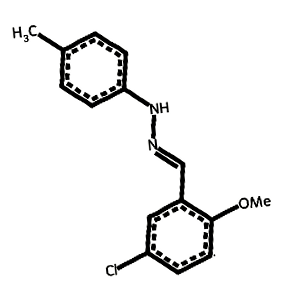 COc1[c]cc(Cl)cc1C=NNc1ccc(C)cc1